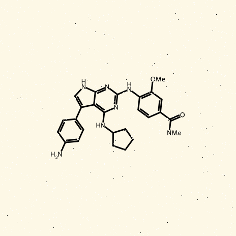 CNC(=O)c1ccc(Nc2nc(NC3CCCC3)c3c(-c4ccc(N)cc4)c[nH]c3n2)c(OC)c1